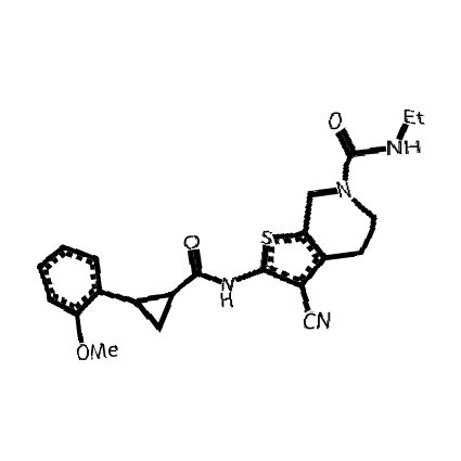 CCNC(=O)N1CCc2c(sc(NC(=O)C3CC3c3ccccc3OC)c2C#N)C1